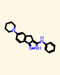 c1ccc(Nc2[nH]nc3c2Cc2cc(N4CCCCC4)ccc2-3)cc1